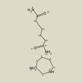 C1CCCNCC1.N.NC(=O)CCCCC(N)=O